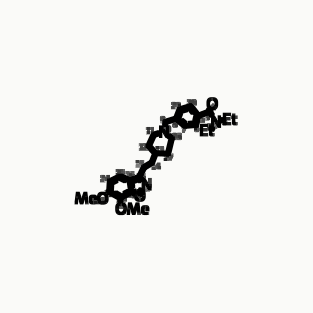 CCN(CC)C(=O)c1ccc(CN2CCC(CCc3noc4c(OC)c(OC)ccc34)CC2)cc1